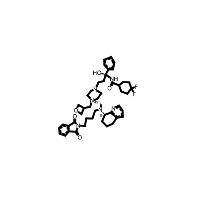 O=C(N[C@](O)(CCN1CCN(CC2COC2)[C@@H](CN(CCCCN2C(=O)c3ccccc3C2=O)[C@H]2CCCc3cccnc32)C1)c1ccccc1)C1CCC(F)(F)CC1